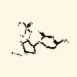 Nc1ccn(C2O[C@H](CO)[C@@H](O)[C@@H]2OP(=O)(O)O)c(=O)n1